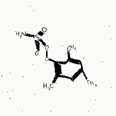 Cc1cc(C)c(OOS(N)(=O)=O)c(C)c1